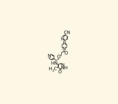 Cc1c(N[C@H](COCCC(=O)N2CCN(c3ccc(C#N)cn3)CC2)c2ccncc2)cn[nH]c1=O